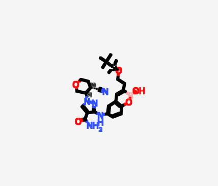 CC(C)(C)[Si](C)(C)OCCC1=Cc2cc(Nc3nn([C@H]4COCC[C@@H]4C#N)cc3C(N)=O)ccc2OB1O